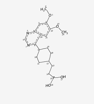 COc1cc2ncnc(C3CCC(CCP(O)O)CC3)c2cc1OC